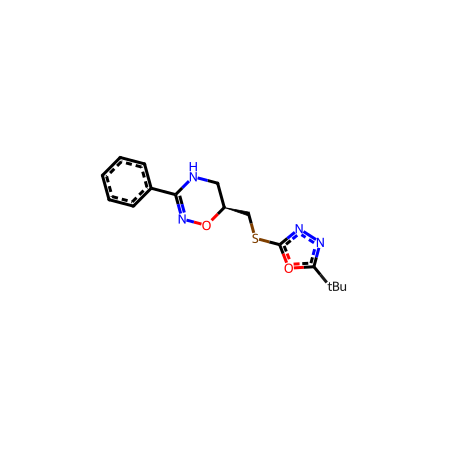 CC(C)(C)c1nnc(SC[C@@H]2CNC(c3ccccc3)=NO2)o1